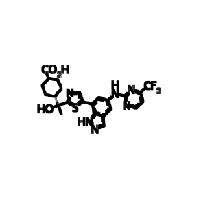 CC(O)(c1ncc(-c2cc(Nc3nccc(C(F)(F)F)n3)cc3cn[nH]c23)s1)[C@H]1CC[C@H](C(=O)O)CC1